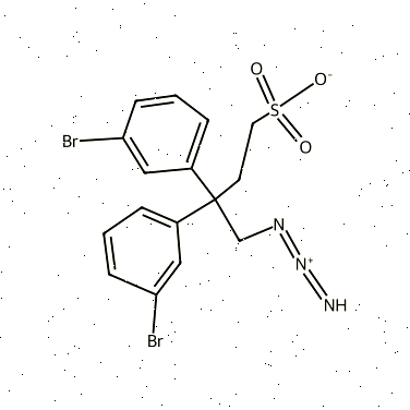 N=[N+]=NCC(CCS(=O)(=O)[O-])(c1cccc(Br)c1)c1cccc(Br)c1